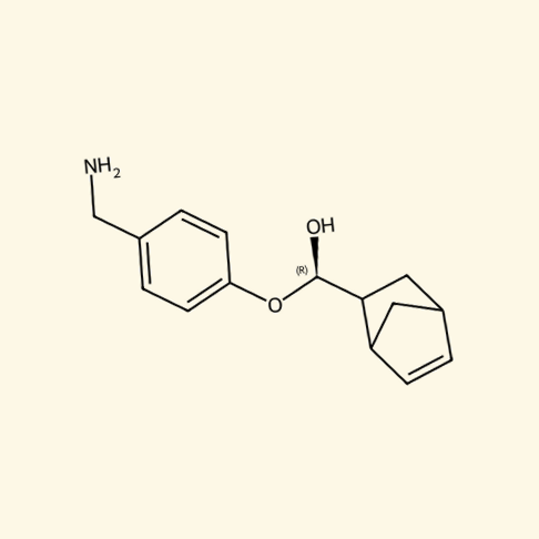 NCc1ccc(O[C@@H](O)C2CC3C=CC2C3)cc1